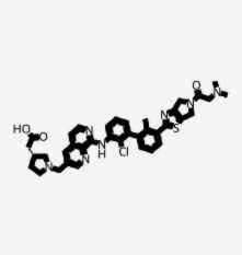 Cc1c(-c2nc3c(s2)CN(C(=O)CN(C)C)C3)cccc1-c1cccc(Nc2nccc3cc(CN4CC[C@H](CC(=O)O)C4)cnc23)c1Cl